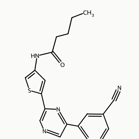 CCCCC(=O)Nc1csc(-c2cncc(-c3cccc(C#N)c3)n2)c1